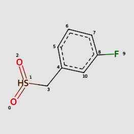 O=[SH](=O)Cc1[c]ccc(F)c1